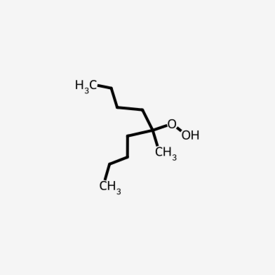 CCCCC(C)(CCCC)OO